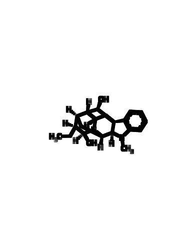 CC[C@H]1[C@@H]2C[C@H]3[C@@H]4N(C)c5ccccc5[C@@]45C[C@@H]([C@H]2[C@H]5O)N3[C@H]1O